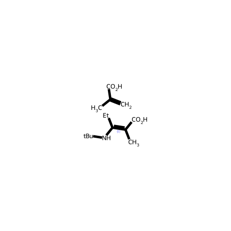 C=C(C)C(=O)O.CC/C(NC(C)(C)C)=C(/C)C(=O)O